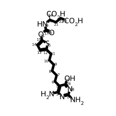 Nc1nc(N)c(CCCCCCc2ccc(OC(=O)N[C@@H](CCC(=O)O)C(=O)O)s2)c(O)n1